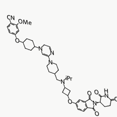 COc1cc(OC2CCC(N3C=C(N4CCC(CN(C(C)C)C5CC(Oc6ccc7c(c6)C(=O)N([C@@H]6CCC(=O)NC6=O)C7=O)C5)CC4)N=CC3)CC2)ccc1C#N